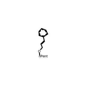 CCCCCOCC=Cc1ccccc1